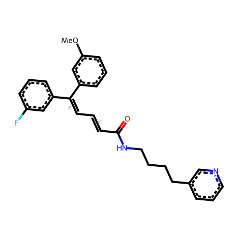 COc1cccc(/C(=C\C=C\C(=O)NCCCCc2cccnc2)c2cccc(F)c2)c1